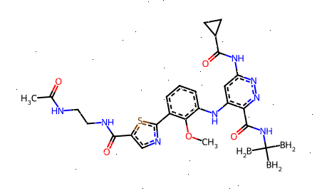 BC(B)(B)NC(=O)c1nnc(NC(=O)C2CC2)cc1Nc1cccc(-c2ncc(C(=O)NCCNC(C)=O)s2)c1OC